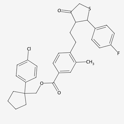 Cc1cc(C(=O)OCC2(c3ccc(Cl)cc3)CCCC2)ccc1CCC1C(=O)CSC1c1ccc(F)cc1